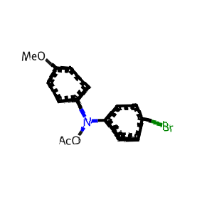 COc1ccc(N(OC(C)=O)c2ccc(Br)cc2)cc1